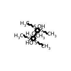 CCCCSc1cc(C(C)(C)c2cc(SCCCC)c(O)c(SCCCC)c2)cc(SCCCC)c1O